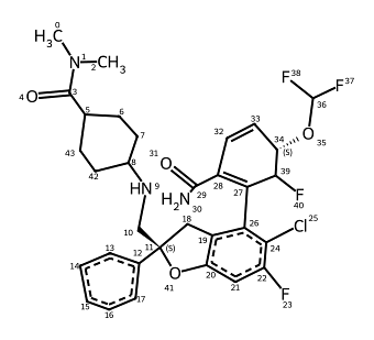 CN(C)C(=O)C1CCC(NC[C@@]2(c3ccccc3)Cc3c(cc(F)c(Cl)c3C3=C(C(N)=O)C=C[C@H](OC(F)F)C3F)O2)CC1